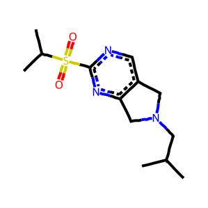 C[C](C)CN1Cc2cnc(S(=O)(=O)C(C)C)nc2C1